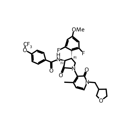 COc1cc(F)c([C@@H]2CN(c3c(C)ccn(CC4CCOC4)c3=O)C(=O)[C@H]2NC(=O)c2ccc(OC(F)(F)F)cc2)c(F)c1